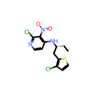 CC[C@H](Cc1sccc1Cl)Nc1ccnc(Cl)c1[N+](=O)[O-]